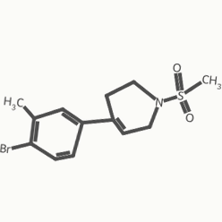 Cc1cc(C2=CCN(S(C)(=O)=O)CC2)ccc1Br